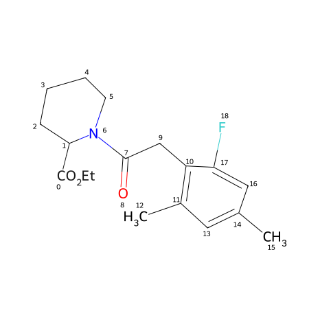 CCOC(=O)C1CCCCN1C(=O)Cc1c(C)cc(C)cc1F